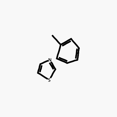 Cc1ccccc1.c1cscn1